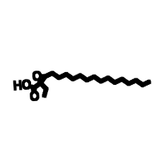 CCCCCCCCCCCCCCCC1OC1(CC)C(=O)O